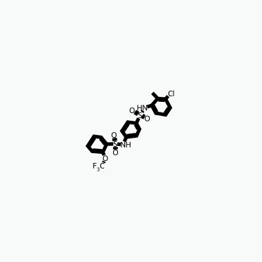 Cc1c(Cl)cccc1NS(=O)(=O)c1ccc(NS(=O)(=O)c2ccccc2OC(F)(F)F)cc1